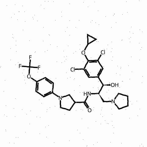 O=C(N[C@H](CN1CCCC1)[C@H](O)c1cc(Cl)c(OC2CC2)c(Cl)c1)C1CCN(c2ccc(OC(F)(F)F)cc2)C1